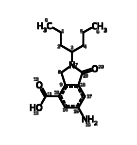 CCCC(CCC)N1Cc2c(C(=O)O)cc(N)cc2C1=O